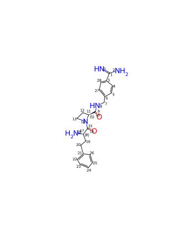 N=C(N)c1ccc(CNC(=O)[C@@H]2CCN2C(=O)[C@H](N)CCc2ccccc2)cc1